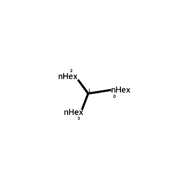 [CH2]CCCCCC(CCCCCC)CCCCCC